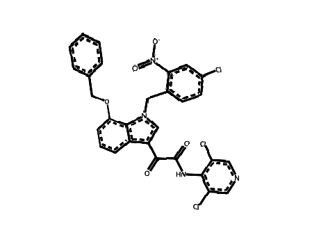 O=C(Nc1c(Cl)cncc1Cl)C(=O)c1cn(Cc2ccc(Cl)cc2[N+](=O)[O-])c2c(OCc3ccccc3)cccc12